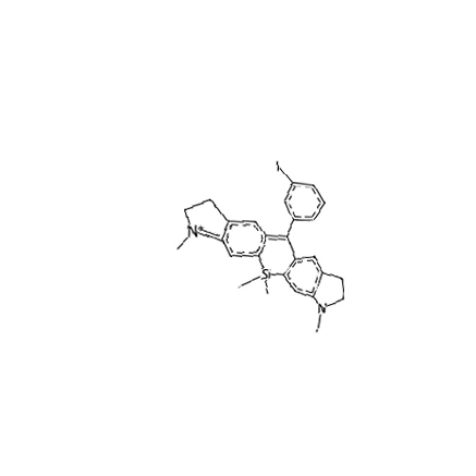 CN1CCc2cc3c(cc21)[Si](C)(C)c1cc2c(cc1=C3c1cccc(I)c1)CC[N+]=2C